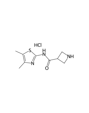 Cc1nc(NC(=O)C2CNC2)sc1C.Cl